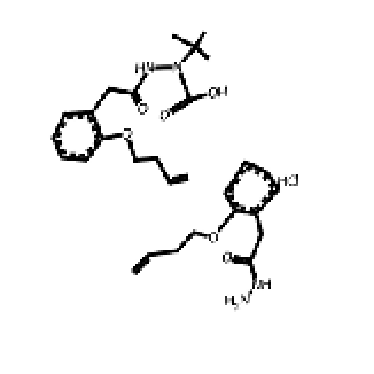 C=CCCOc1ccccc1CC(=O)NN.C=CCCOc1ccccc1CC(=O)NN(C(=O)O)C(C)(C)C.Cl